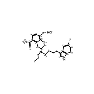 CCCN(C(C)CCCc1c[nH]c2ccc(F)cc12)C1COc2c(F)ccc(C(N)=O)c2C1.Cl